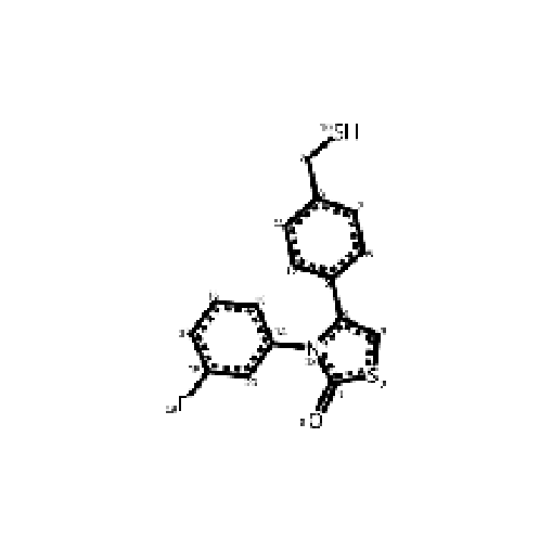 O=c1scc(-c2ccc(CS)cc2)n1-c1cccc(F)c1